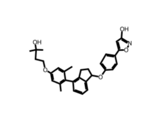 Cc1cc(OCCC(C)(C)O)cc(C)c1-c1cccc2c1CCC2Oc1ccc(-c2cc(O)no2)cc1